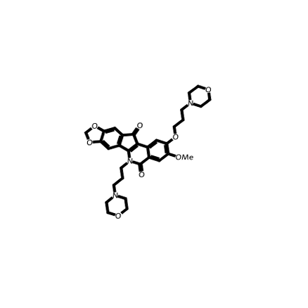 COc1cc2c(=O)n(CCCN3CCOCC3)c3c(c2cc1OCCCN1CCOCC1)C(=O)c1cc2c(cc1-3)OCO2